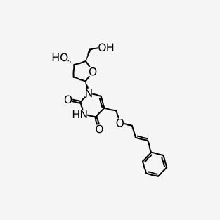 O=c1[nH]c(=O)n([C@H]2C[C@H](O)[C@@H](CO)O2)cc1COC/C=C/c1ccccc1